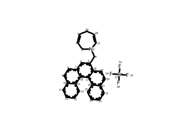 C1=CCN(Cc2cc3ccc4ccccc4c3c3c2ccc2ccccc23)C=CC1.F[B-](F)(F)F